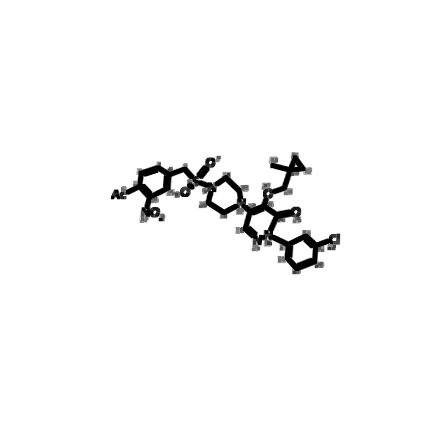 CC(=O)c1ccc(CS(=O)(=O)N2CCN(c3cnn(-c4cccc(Cl)c4)c(=O)c3OCC3(C)CC3)CC2)cc1[N+](=O)[O-]